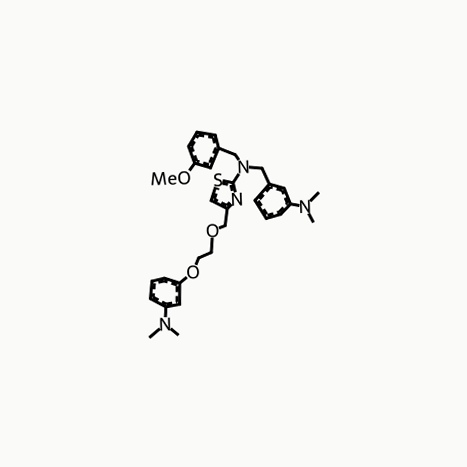 COc1cccc(CN(Cc2cccc(N(C)C)c2)c2nc(COCCOc3cccc(N(C)C)c3)cs2)c1